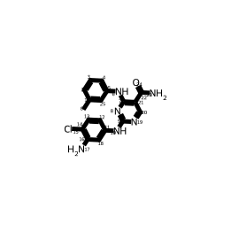 Cc1cccc(Nc2nc(Nc3ccc(Cl)c(N)c3)ncc2C(N)=O)c1